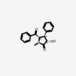 CN1C(=O)[C@@H](O)[C@H](c2ccccc2)[C@@H]1C(=O)c1ccccc1